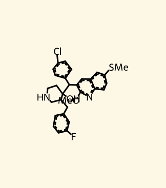 COc1nc2ccc(SC)cc2cc1C(c1ccc(Cl)cc1)C1(O)CCNCC1Cc1cccc(F)c1